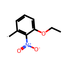 [CH2]c1cccc(OCC)c1[N+](=O)[O-]